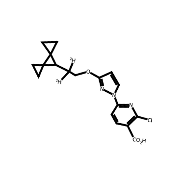 [2H]C([2H])(COc1ccn(-c2ccc(C(=O)O)c(Cl)n2)n1)C1C2(CC2)C12CC2